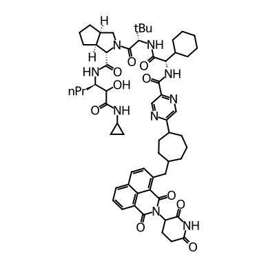 CCC[C@@H](NC(=O)[C@@H]1[C@H]2CCC[C@H]2CN1C(=O)[C@@H](NC(=O)[C@@H](NC(=O)c1cnc(C2CCCC(Cc3ccc4cccc5c4c3C(=O)N(C3CCC(=O)NC3=O)C5=O)CC2)cn1)C1CCCCC1)C(C)(C)C)C(O)C(=O)NC1CC1